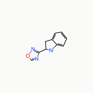 c1ccc2c(c1)CC(c1ncon1)[N]2